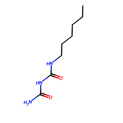 CCCCCCNC(=O)NC(N)=O